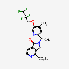 CCOC(=O)c1nccc2c1CN(C(C)c1cc(C)c(OCC(F)(F)C(F)F)cn1)C2=O